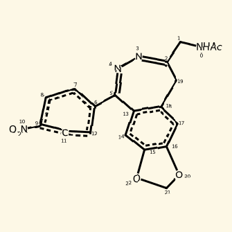 CC(=O)NCC1=NN=C(c2ccc([N+](=O)[O-])cc2)c2cc3c(cc2C1)OCO3